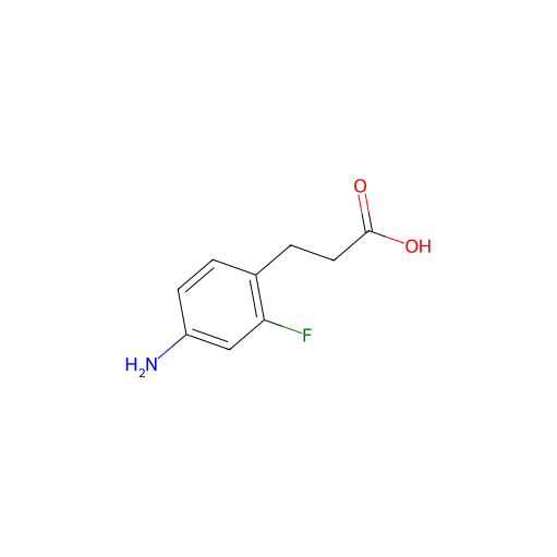 Nc1ccc(CCC(=O)O)c(F)c1